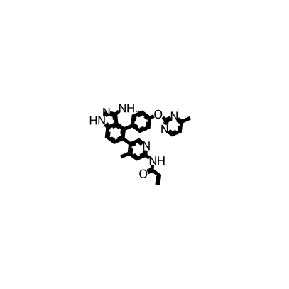 C=CC(=O)Nc1cc(C)c(-c2ccc3[nH]nc(N)c3c2-c2ccc(Oc3nccc(C)n3)cc2)cn1